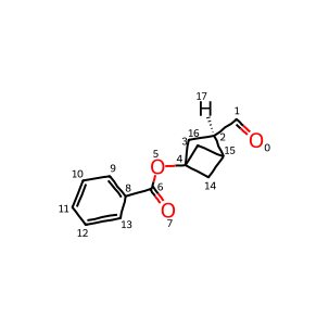 O=C[C@@H]1CC2(OC(=O)c3ccccc3)CC1C2